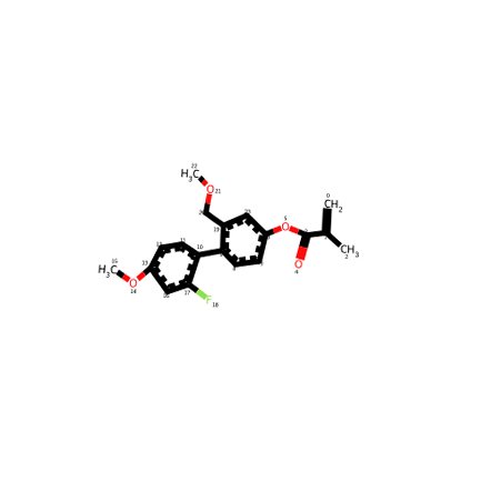 C=C(C)C(=O)Oc1ccc(-c2ccc(OC)cc2F)c(COC)c1